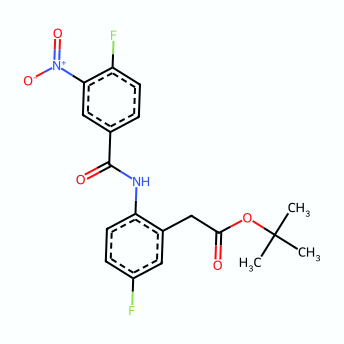 CC(C)(C)OC(=O)Cc1cc(F)ccc1NC(=O)c1ccc(F)c([N+](=O)[O-])c1